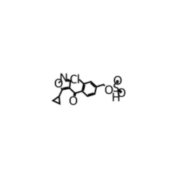 O=C(c1ccc(CO[SH](=O)=O)cc1Cl)c1cnoc1C1CC1